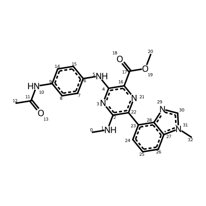 CNc1nc(Nc2ccc(NC(C)=O)cc2)c(C(=O)OC)nc1-c1cccc2c1ncn2C